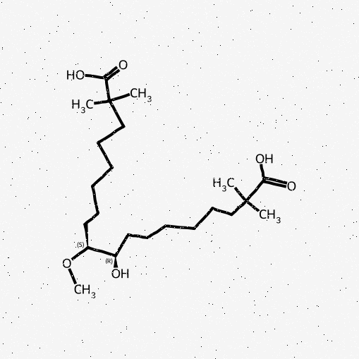 CO[C@@H](CCCCCCC(C)(C)C(=O)O)[C@H](O)CCCCCCC(C)(C)C(=O)O